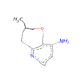 CC1Cc2nccc(N)c2O1